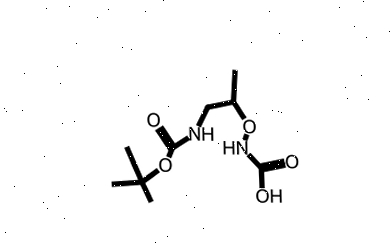 CC(CNC(=O)OC(C)(C)C)ONC(=O)O